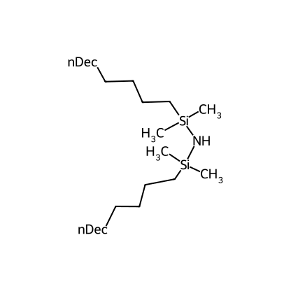 CCCCCCCCCCCCCC[Si](C)(C)N[Si](C)(C)CCCCCCCCCCCCCC